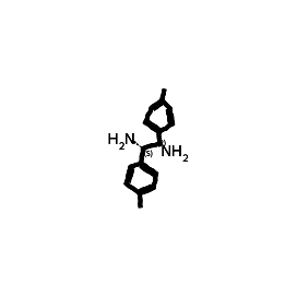 Cc1ccc([C@@H](N)[C@@H](N)c2ccc(C)cc2)cc1